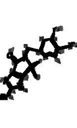 CC1(C)c2sc(Br)nc2C(=O)N1Cc1ccc(F)c(F)c1